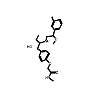 CNC(=O)COc1ccc(CC(CI)NCC(OC)c2cccc(C)c2)cc1.Cl